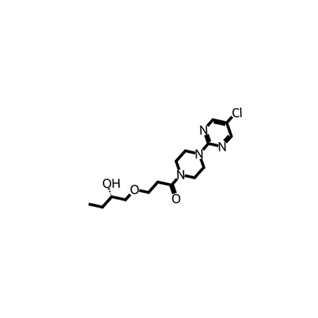 CC[C@H](O)COCCC(=O)N1CCN(c2ncc(Cl)cn2)CC1